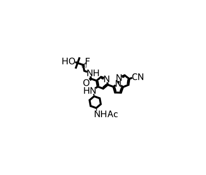 CC(=O)N[C@H]1CC[C@H](Nc2cc(-c3ccc4cc(C#N)cnn34)ncc2C(=O)NC[C@@H](F)C(C)(C)O)CC1